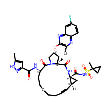 CCc1nc2ccc(F)cc2nc1O[C@@H]1C[C@H]2C(=O)N[C@]3(C(=O)NS(=O)(=O)C4(C)CC4)C[C@H]3/C=C\CCCCC[C@H](NC(=O)c3cc(C)[nH]n3)C(=O)N2C1